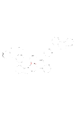 CC1(C)c2ccccc2-c2ccc(-c3ccc(N(c4ccc(-c5cccc6c5ccc5ccccc56)cc4)c4ccccc4-c4ccc5c(c4)oc4ccccc45)cc3)cc21